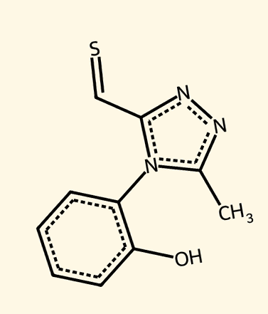 Cc1nnc(C=S)n1-c1ccccc1O